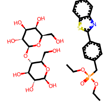 CCOP(=O)(Cc1ccc(-c2nc3ccccc3s2)cc1)OCC.OC[C@H]1O[C@@H](O[C@H]2[C@H](O)[C@@H](O)[C@H](O)O[C@@H]2CO)[C@H](O)[C@@H](O)[C@H]1O